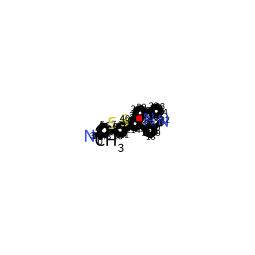 CC1(C#N)C=Cc2sc3c(ccc4c5cc(-c6cccc(C#N)c6-n6c7ccccc7c7ccccc76)ccc5sc43)c2C1